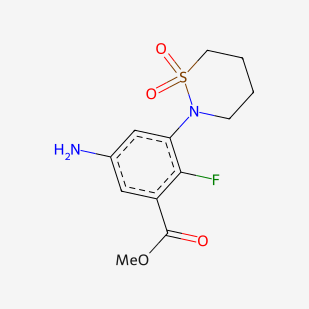 COC(=O)c1cc(N)cc(N2CCCCS2(=O)=O)c1F